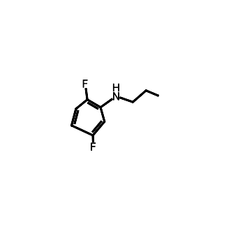 CCCNc1cc(F)ccc1F